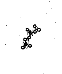 C1=CC2c3ccc(-c4nc(-c5ccccc5)nc(-c5ccc6sc7c(-c8nc(-c9ccccc9)c9oc%10ccccc%10c9n8)cccc7c6c5)n4)cc3N(c3ccccc3)C2C=C1